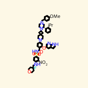 COc1ccc(CN2CCN(C3CC4(CCN(c5ccc(C(=O)NS(=O)(=O)c6ccc(NCC7(F)CCOCC7)c([N+](=O)[O-])c6)c(Oc6cnc7[nH]ccc7c6)c5)CC4)C3)[C@@H](c3ccccc3C(C)C)C2)cc1